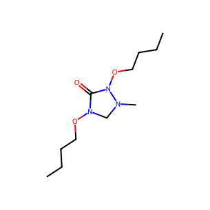 CCCCON1CN(C)N(OCCCC)C1=O